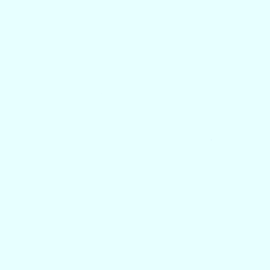 Cc1ccc(-c2ccc3c(c2)oc2ccccc23)cc1C